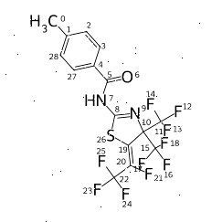 Cc1ccc(C(=O)NC2=NC(C(F)(F)F)(C(F)(F)F)C(=C(F)C(F)(F)F)S2)cc1